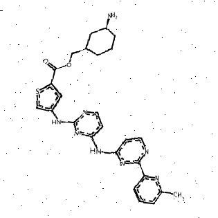 Cc1cccc(-c2nccc(Nc3ccnc(Nc4csc(C(=O)OC[C@@H]5CCC[C@H](N)C5)c4)n3)n2)n1